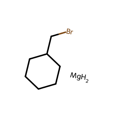 BrCC1CCCCC1.[MgH2]